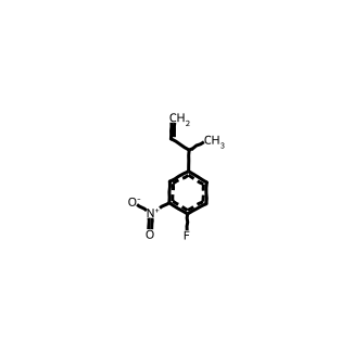 C=C[C](C)c1ccc(F)c([N+](=O)[O-])c1